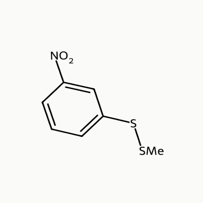 CSSc1cccc([N+](=O)[O-])c1